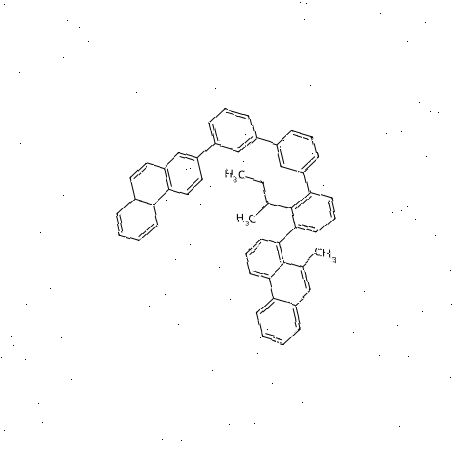 CCC(C)c1c(-c2cccc(-c3cccc(-c4ccc5c(c4)C=CC4C=CC=CC54)c3)c2)cccc1-c1cccc2c1c(C)cc1ccccc12